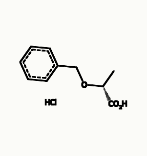 C[C@@H](OCc1ccccc1)C(=O)O.Cl